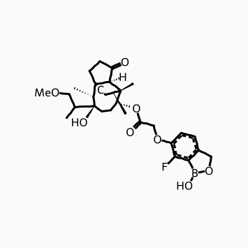 COCC(C)[C@@]1(O)CC[C@@H](OC(=O)COc2ccc3c(c2F)B(O)OC3)[C@]2(C)[C@H](C)CC[C@]3(CCC(=O)[C@H]32)[C@H]1C